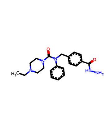 CCN1CCN(C(=O)N(Cc2ccc(C(=O)NN)cc2)c2ccccc2)CC1